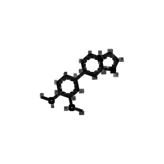 COc1ccc(-c2ccn3ccnc3c2)cc1OC